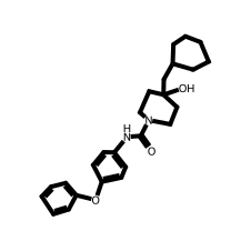 O=C(Nc1ccc(Oc2ccccc2)cc1)N1CCC(O)(CC2CCCCC2)CC1